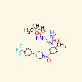 Cc1ccc(C(=O)N2CCC(c3ccc(C(F)(F)F)cc3)CC2)cc1N(CCNC(=O)OC(C)(C)C)C(N)=O